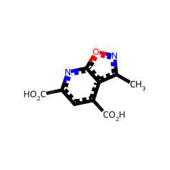 Cc1noc2nc(C(=O)O)cc(C(=O)O)c12